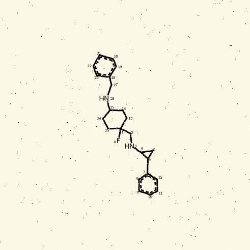 FC1(CNC2CC2c2ccccc2)CCC(NCc2ccccc2)CC1